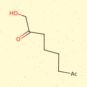 CC(=O)CCCCC(=O)CO